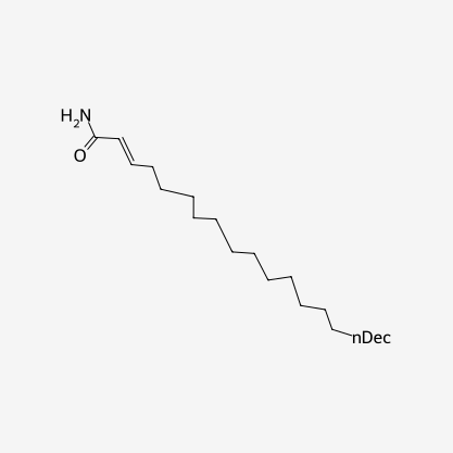 CCCCCCCCCCCCCCCCCCCCCCC=CC(N)=O